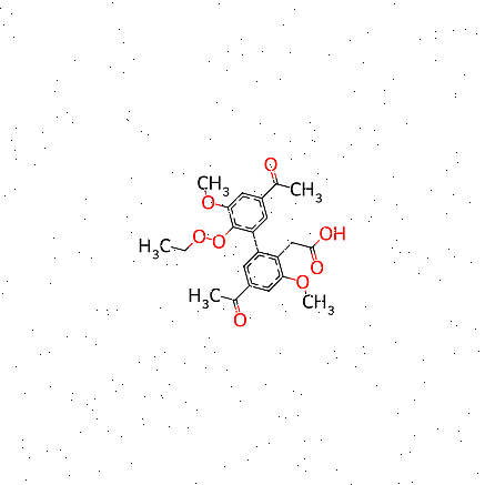 CCOOc1c(OC)cc(C(C)=O)cc1-c1cc(C(C)=O)cc(OC)c1CC(=O)O